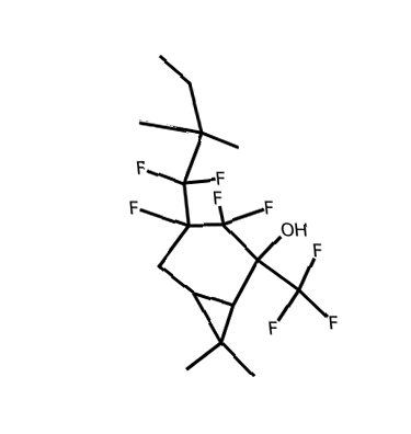 CCC(C)(C)C(F)(F)C1(F)CC2C(C2(C)C)C(O)(C(F)(F)F)C1(F)F